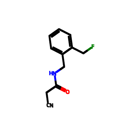 N#CCC(=O)NCc1ccccc1CF